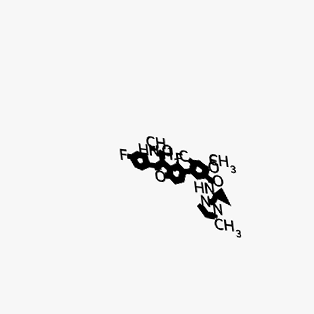 CNC(=O)c1c(-c2ccc(F)cc2)oc2ccc(-c3cc(C(=O)NC4(c5nccc(C)n5)CC4)c(OC)cc3C)c(F)c12